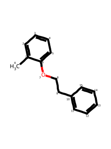 Cc1ccccc1OCCc1ccccc1